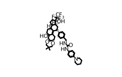 CC1(C)COC2(CCC3=C4[C@@H](CC[C@@]3(O)C2)[C@@H]2CC[C@@](O)(C(F)(F)C(F)(F)F)[C@@]2(C)C[C@@H]4c2ccc(CNC(=O)Nc3ccc(N4CCCCC4)cc3)cc2)OC1